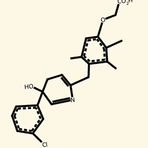 Cc1cc(OCC(=O)O)c(C)c(C)c1CC1=CCC(O)(c2cccc(Cl)c2)C=N1